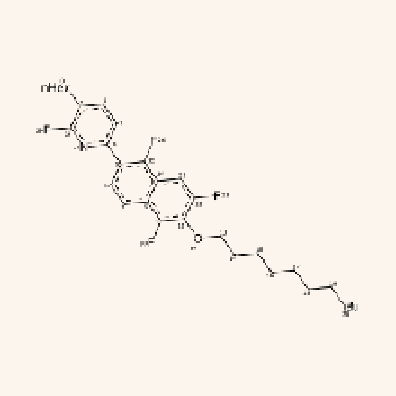 CCCCCCc1ccc(-c2ccc3c(F)c(OCCCCCCCC(C)CC)c(F)cc3c2F)nc1F